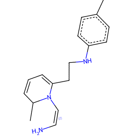 Cc1ccc(NCCC2=CC=CC(C)N2/C=C\N)cc1